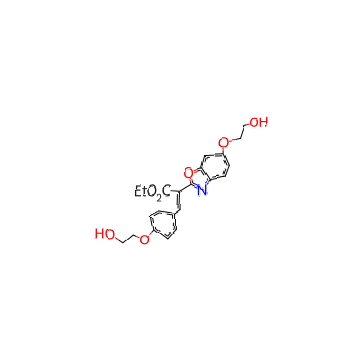 CCOC(=O)/C(=C\c1ccc(OCCO)cc1)c1nc2ccc(OCCO)cc2o1